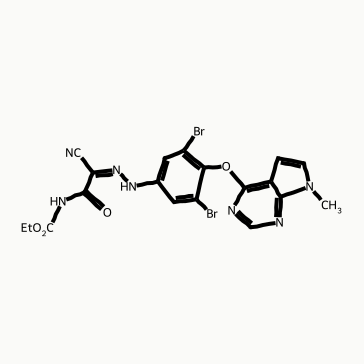 CCOC(=O)NC(=O)C(C#N)=NNc1cc(Br)c(Oc2ncnc3c2ccn3C)c(Br)c1